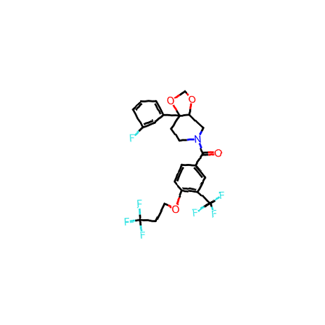 O=C(c1ccc(OCCC(F)(F)F)c(C(F)(F)F)c1)N1CCC2(c3cccc(F)c3)OCOC2C1